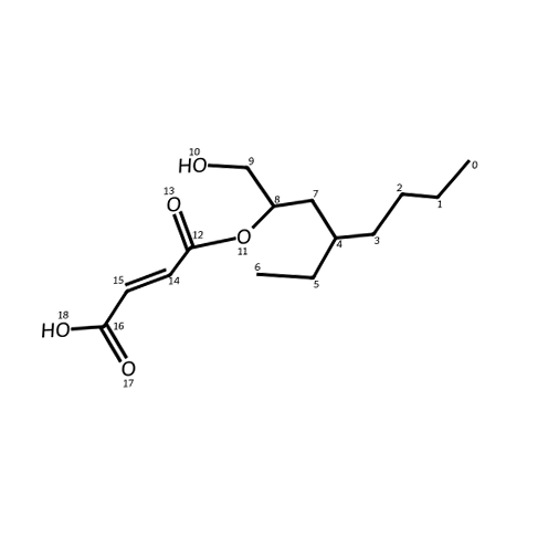 CCCCC(CC)CC(CO)OC(=O)C=CC(=O)O